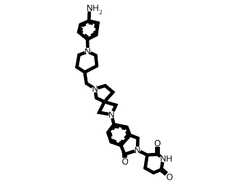 Nc1ccc(N2CCC(CN3CCC4(C3)CN(c3ccc5c(c3)CN(C3CCC(=O)NC3=O)C5=O)C4)CC2)cc1